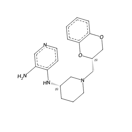 Nc1cnccc1N[C@H]1CCCN(C[C@H]2COc3ccccc3O2)C1